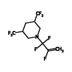 C=C(F)C(F)(F)N1CC(C(F)(F)F)CC(C(F)(F)F)C1